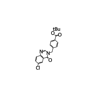 CC(C)(C)OC(=O)c1ccc(Cn2cnc3ccc(Cl)cc3c2=O)cc1